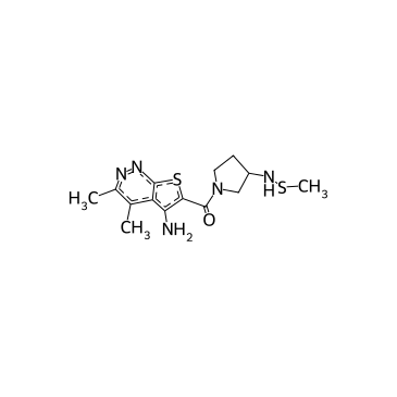 CSNC1CCN(C(=O)c2sc3nnc(C)c(C)c3c2N)C1